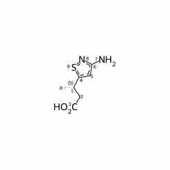 C[C@@H](CC(=O)O)c1cc(N)ns1